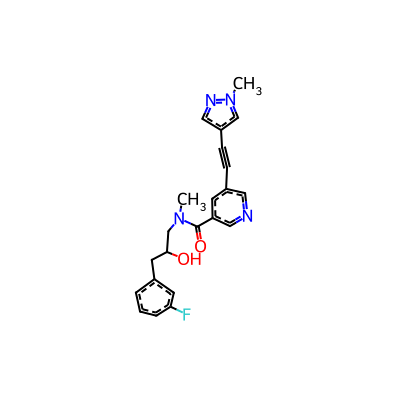 CN(CC(O)Cc1cccc(F)c1)C(=O)c1cncc(C#Cc2cnn(C)c2)c1